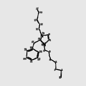 CCCCCCCN1C=CN(CCCCC)C1Cc1ccccc1